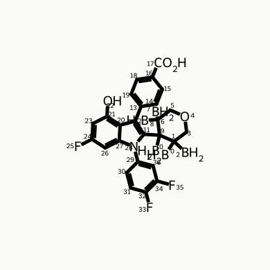 BC1(B)COCC(B)(B)C1(B)c1c(-c2ccc(C(=O)O)cc2)c2c(O)cc(F)cc2n1-c1ccc(F)c(F)c1